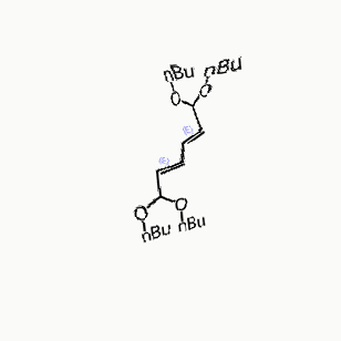 CCCCOC(/C=C/C=C/C(OCCCC)OCCCC)OCCCC